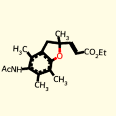 CCOC(=O)C=CC1(C)Cc2c(C)c(NC(C)=O)c(C)c(C)c2O1